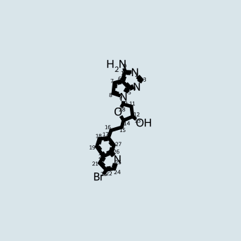 Nc1ncnc2c1ccn2C1CC(O)C(CCc2ccc3cc(Br)cnc3c2)O1